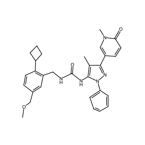 COCc1ccc(C2CCC2)c(CNC(=O)Nc2c(C)c(-c3ccc(=O)n(C)c3)nn2-c2ccccc2)c1